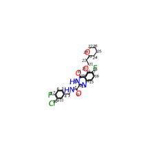 O=C(NCc1ccc(F)c(Cl)c1)c1nc2ccc(F)c(OCCC3CCCCO3)c2c(=O)[nH]1